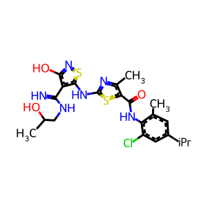 Cc1cc(C(C)C)cc(Cl)c1NC(=O)c1sc(Nc2snc(O)c2C(=N)NCC(C)O)nc1C